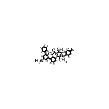 CC1CN(C(=O)COc2c(-c3ccccc3)cc(N)cc2-c2ccccc2)C(C)CN1Cc1ccc(F)cc1